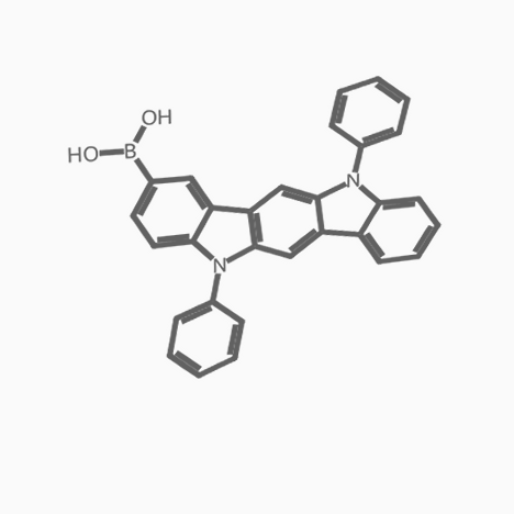 OB(O)c1ccc2c(c1)c1cc3c(cc1n2-c1ccccc1)c1ccccc1n3-c1ccccc1